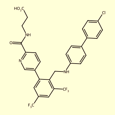 O=C(O)CCNC(=O)c1ccc(-c2cc(C(F)(F)F)cc(C(F)(F)F)c2CNc2ccc(-c3ccc(Cl)cc3)cc2)cn1